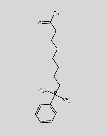 C[PH](C)(CCCCCCCC(=O)O)c1ccccc1